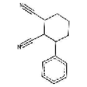 N#CC1CCCC(c2ccccc2)C1C#N